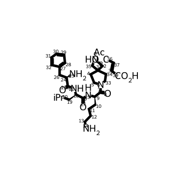 CC(=O)N1CC2(CCN(C(=O)[C@@H](CCCCN)NC(=O)[C@@H](CC(C)C)NC(=O)[C@H](N)Cc3ccccc3)CC2)C1.O=C(O)/C=C/C(=O)O